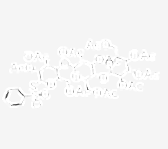 CC(=O)OC[C@H]1O[C@@H](SS(=O)(=O)c2ccccc2)[C@H](OC(C)=O)[C@@H](OC(C)=O)[C@@H]1O[C@@H]1O[C@H](COC(C)=O)[C@@H](O[C@@H]2O[C@H](COC(C)=O)[C@@H](OC(C)=O)[C@H](OC(C)=O)[C@H]2OC(C)=O)[C@H](OC(C)=O)[C@H]1OC(C)=O